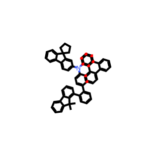 CC1(C)c2ccccc2-c2cccc(-c3ccccc3-c3ccc(N(c4ccc5c(c4)C4(CCCC4)c4ccccc4-5)c4ccccc4-c4ccccc4-c4ccccc4-c4ccccc4)cc3)c21